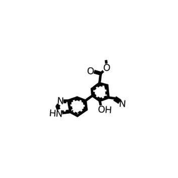 COC(=O)c1cc(C#N)c(O)c(-c2ccc3[nH]cnc3c2)c1